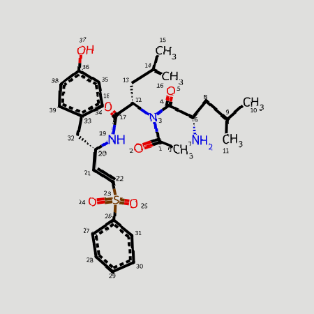 CC(=O)N(C(=O)[C@@H](N)CC(C)C)[C@@H](CC(C)C)C(=O)N[C@H](/C=C/S(=O)(=O)c1ccccc1)Cc1ccc(O)cc1